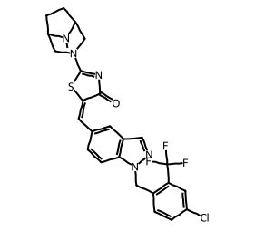 CN1C2CCC1CN(C1=NC(=O)C(=Cc3ccc4c(cnn4Cc4ccc(Cl)cc4C(F)(F)F)c3)S1)C2